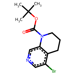 CC(C)(C)OC(=O)N1CCCc2c(Br)cncc21